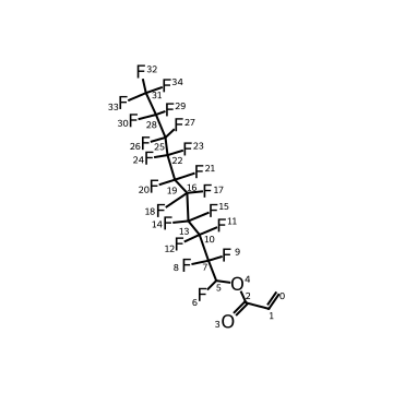 C=CC(=O)OC(F)C(F)(F)C(F)(F)C(F)(F)C(F)(F)C(F)(F)C(F)(F)C(F)(F)C(F)(F)C(F)(F)F